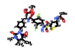 Cc1c(C)n(C)c(=O)n(-c2ccc(C[C@H](NC(=O)c3cc(F)c(NS(=O)(=O)c4cc(NC(=O)C(C)(C)C)cs4)cc3F)C(=O)OC(C)C)cc2)c1=O